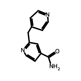 NC(=O)c1ccnc(Cc2ccncc2)c1